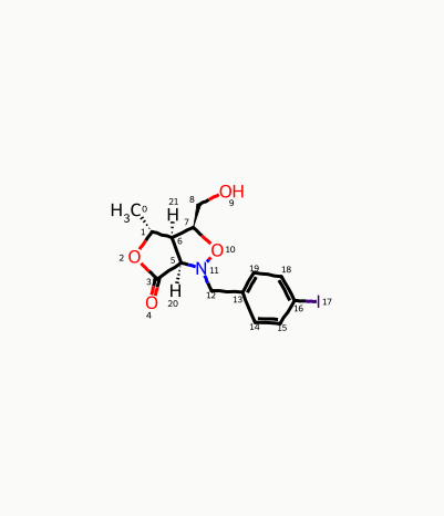 C[C@H]1OC(=O)[C@H]2[C@@H]1[C@@H](CO)ON2Cc1ccc(I)cc1